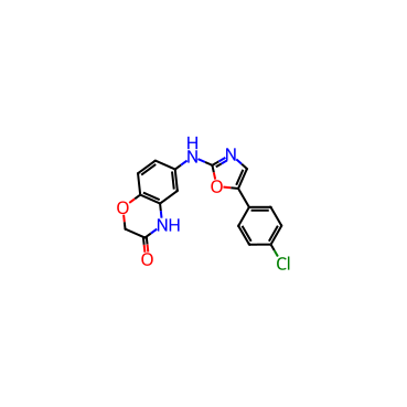 O=C1COc2ccc(Nc3ncc(-c4ccc(Cl)cc4)o3)cc2N1